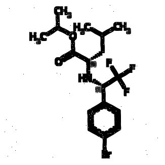 CC(C)C[C@H](N[C@@H](c1ccc(Br)cc1)C(F)(F)F)C(=O)OC(C)C